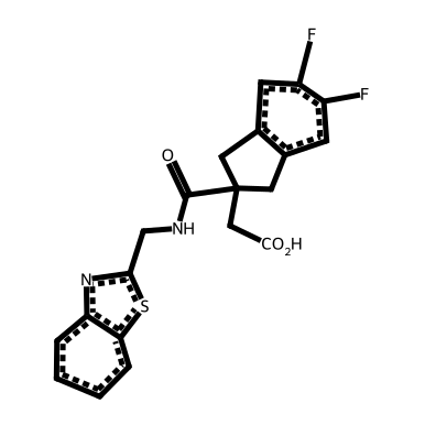 O=C(O)CC1(C(=O)NCc2nc3ccccc3s2)Cc2cc(F)c(F)cc2C1